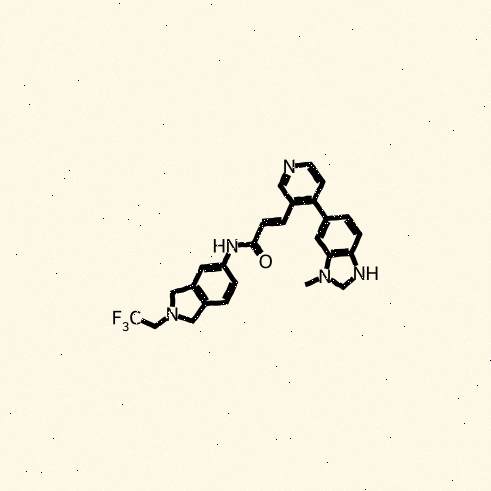 CN1CNc2ccc(-c3ccncc3/C=C/C(=O)Nc3ccc4c(c3)CN(CC(F)(F)F)C4)cc21